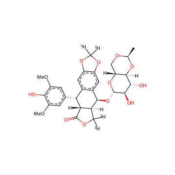 [2H]C1([2H])Oc2cc3c(cc2O1)[C@@H](O[C@@H]1O[C@@H]2CO[C@@H](C)O[C@H]2[C@H](O)[C@H]1O)[C@@H]1[C@H](C(=O)OC1([2H])[2H])[C@@H]3c1cc(OC)c(O)c(OC)c1